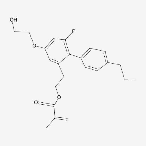 C=C(C)C(=O)OCCc1cc(OCCO)cc(F)c1-c1ccc(CCC)cc1